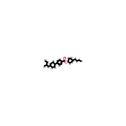 CCCCC1CCC(OC(=O)c2ccc(C3CCC(CC(C)CC)CC3)cc2)CC1